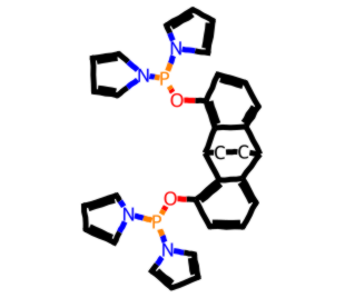 c1cc(OP(n2cccc2)n2cccc2)c2c(c1)C1CCC2c2c(OP(n3cccc3)n3cccc3)cccc21